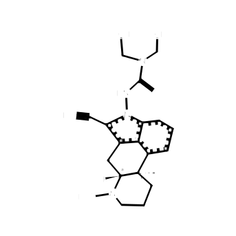 C#Cc1c2c3c(cccc3n1NC(=S)N(CC)CC)[C@H]1CCCN(C)[C@@H]1C2